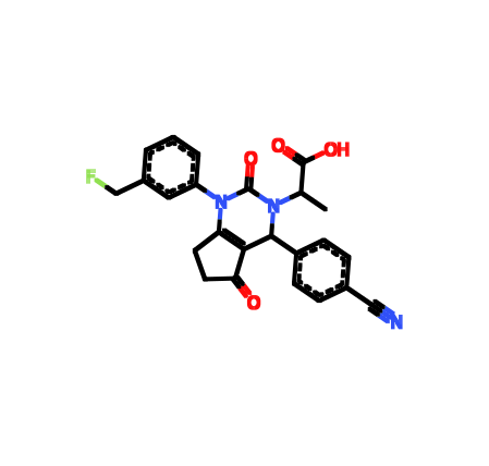 CC(C(=O)O)N1C(=O)N(c2cccc(CF)c2)C2=C(C(=O)CC2)C1c1ccc(C#N)cc1